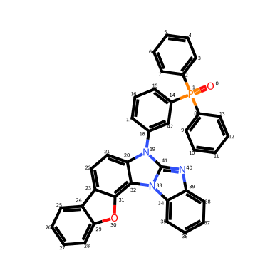 O=P(c1ccccc1)(c1ccccc1)c1cccc(-n2c3ccc4c5ccccc5oc4c3n3c4ccccc4nc23)c1